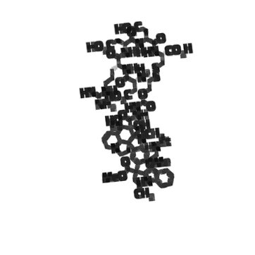 C=CCC(C(=O)OC)(c1cc2c(cc1OC)N(C)[C@H]1[C@@](O)(C(=O)NNC(=O)OCCSSC[C@H](NC(=O)[C@H](CC(=O)O)NC(=O)[C@H](CC(=O)O)NC(=O)[C@@H](CCCNC(=N)N)NC(=O)[C@H](N)CC(=O)O)C(=O)O)[C@H](O)[C@]3(CC)C=CCN4CC[C@]21C43)c1[nH]c2ccccc2c1CCNCC